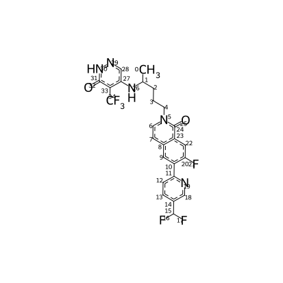 CC(CCCn1ccc2cc(-c3ccc(C(F)F)cn3)c(F)cc2c1=O)Nc1cn[nH]c(=O)c1C(F)(F)F